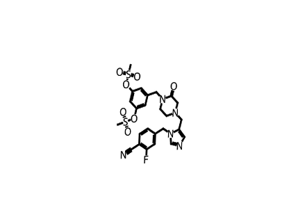 CS(=O)(=O)Oc1cc(CN2CCN(Cc3cncn3Cc3ccc(C#N)c(F)c3)CC2=O)cc(OS(C)(=O)=O)c1